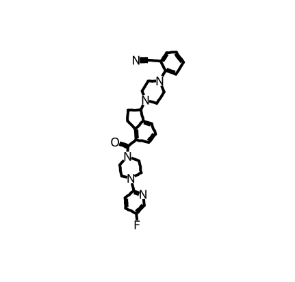 N#Cc1ccccc1N1CCN(C2CCc3c(C(=O)N4CCN(c5ccc(F)cn5)CC4)cccc32)CC1